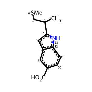 CSCC(C)c1cc2cc(C(=O)O)ccc2[nH]1